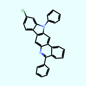 Clc1ccc2c3cc4nc(-c5ccccc5)c5ccccc5c4cc3n(-c3ccccc3)c2c1